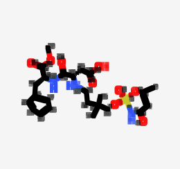 CC1=CC(=O)NS(=O)(=O)O1.COC(=O)[C@H](Cc1ccccc1)NC(=O)[C@H](CC(=O)O)NCCC(C)(C)C